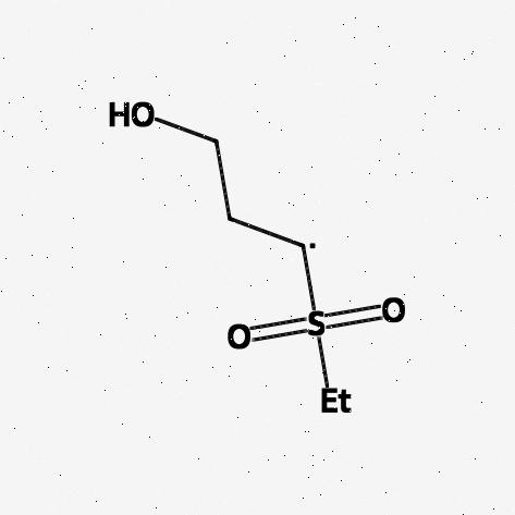 CCS(=O)(=O)[CH]CCO